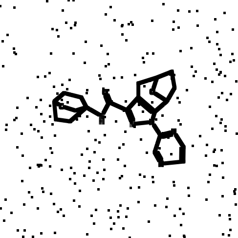 O=C(NC12CCC(CC1)CC2)c1nn(-c2cnccn2)c2c1CC1CCC2O1